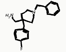 NCC1(c2ccc(F)cc2)CCN(Cc2ccccc2)CC1